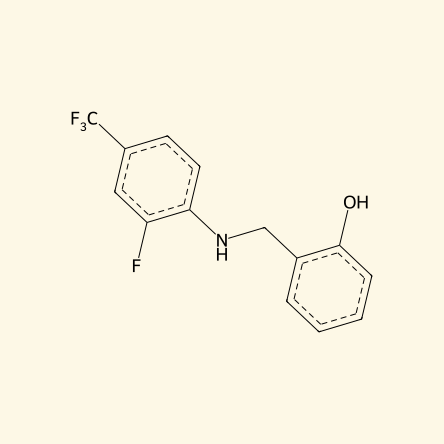 Oc1ccccc1CNc1ccc(C(F)(F)F)cc1F